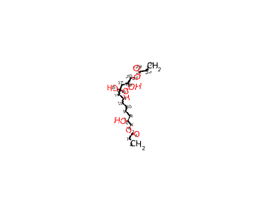 C=CC(=O)OCC(O)CCCCCCC(O)(O)CC(O)COC(=O)C=C